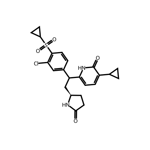 O=C1CC[C@H](CC(c2ccc(S(=O)(=O)C3CC3)c(Cl)c2)c2ccc(C3CC3)c(=O)[nH]2)N1